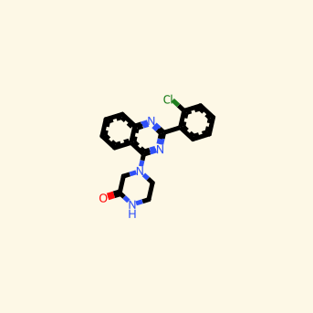 O=C1CN(c2nc(-c3ccccc3Cl)nc3ccccc23)CCN1